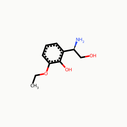 CCOc1cccc([C@@H](N)CO)c1O